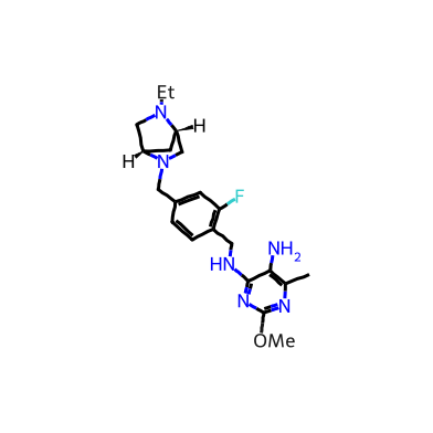 CCN1C[C@@H]2C[C@H]1CN2Cc1ccc(CNc2nc(OC)nc(C)c2N)c(F)c1